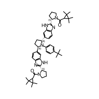 CC(C)(C)c1ccc(N2[C@@H](c3ccc4nc([C@@H]5CCCN5C(=O)C5C(C)(C)C5(C)C)[nH]c4c3)CC[C@@H]2c2ccc3nc([C@@H]4CCCN4C(=O)C4C(C)(C)C4(C)C)[nH]c3c2)cc1